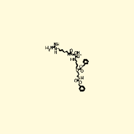 C[C@H](NC(=O)CCCCCCNC(=N)N)C(=O)NCCCCN(CCCNC(=O)OCc1ccccc1)C(=O)OCc1ccccc1